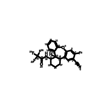 N#Cc1cc2c(cc1F)Oc1ccccc1[C@H]1[C@H](NC(=O)C(F)(F)F)CCCN21